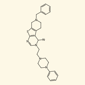 [N]C1c2c(sc3c2CCN(Cc2ccccc2)C3)N=CN1CCN1CCN(c2ccccc2)CC1